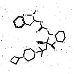 CC(C#N)(CC(C)(C)N1CCN(C2COC2)CC1)C(=O)N1CCCC[C@@H]1COC(=O)N[C@@H](Cc1ccccc1)B(O)O